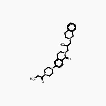 CCC(=O)N1CCN(c2ccc3c(c2)CCN(CC(O)CN2CCc4ccccc4C2)C3=O)CC1